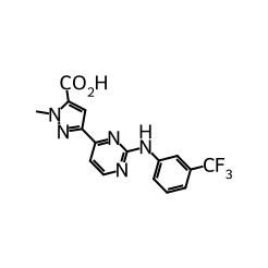 Cn1nc(-c2ccnc(Nc3cccc(C(F)(F)F)c3)n2)cc1C(=O)O